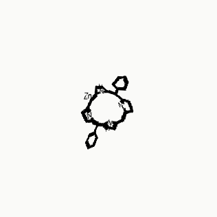 C1=Cc2nc1cc1ccc([nH]1)c(-c1ccccc1)c1nc(cc3ccc([nH]3)c2-c2ccccc2)C=C1.[Zn]